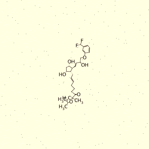 CC(C)OC(C)(C)C(=O)CCC/C=C/C[C@H]1[C@H](/C=C/[C@H](O)COc2cccc(C(F)F)c2)[C@@H](O)C[C@H]1O